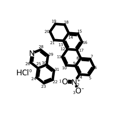 Cl.O=[N+]([O-])c1cccc2c1ccc1c3c(ccc12)CCCC3.c1ccc2cnccc2c1